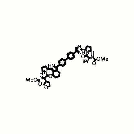 COC(=O)NC(C(=O)N1CCCC1c1[nH]c(-c2ccc(-c3ccc(-c4cnc([C@@H]5CCCN5C(=O)[C@@H](NC(=O)OC)C(C)C)[nH]4)cc3)cc2)c2c1CCCC2)C1CCOC1